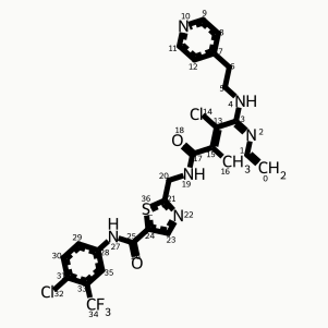 C=C/N=C(NCCc1ccncc1)\C(Cl)=C(/C)C(=O)NCc1ncc(C(=O)Nc2ccc(Cl)c(C(F)(F)F)c2)s1